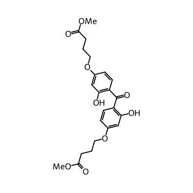 COC(=O)CCCOc1ccc(C(=O)c2ccc(OCCCC(=O)OC)cc2O)c(O)c1